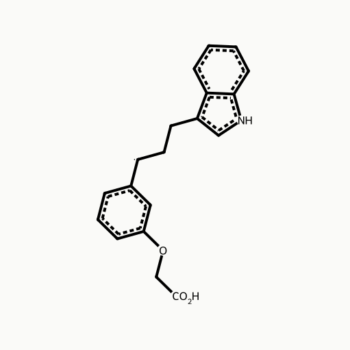 O=C(O)COc1cccc([CH]CCc2c[nH]c3ccccc23)c1